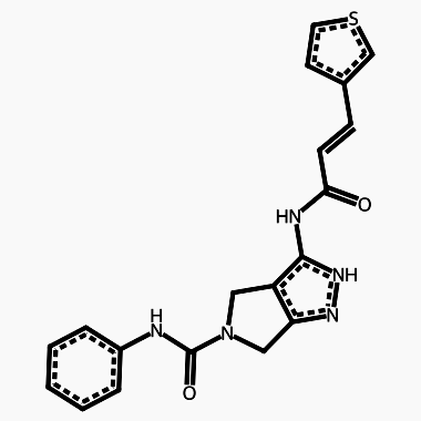 O=C(/C=C/c1ccsc1)Nc1[nH]nc2c1CN(C(=O)Nc1ccccc1)C2